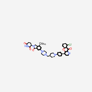 COc1cc(N2CCN(CC3CCN(c4ccc(-c5ccnc6c(=O)c7c(Cl)cccc7oc56)cc4)CC3)CC2)cc2c1CN(C1CCC(=O)NC1=O)C2=O